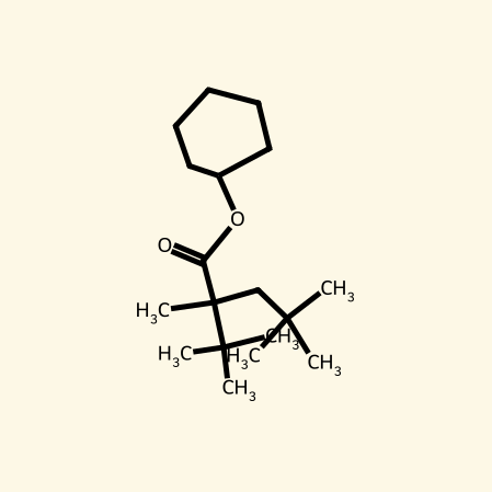 CC(C)(C)CC(C)(C(=O)OC1CCCCC1)C(C)(C)C